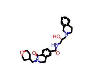 O=C(NC[C@H](O)CN1CCc2ccccc2C1)c1ccc2c(c1)CCN(CC1CCOCC1)C2=O